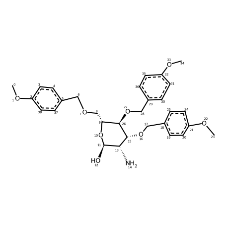 COc1ccc(COC[C@H]2O[C@H](O)[C@@H](N)[C@@H](OCc3ccc(OC)cc3)[C@@H]2OCc2ccc(OC)cc2)cc1